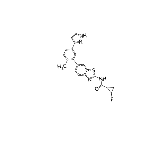 Cc1ccc(-c2cc[nH]n2)cc1-c1ccc2nc(NC(=O)C3CC3F)sc2c1